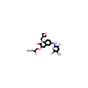 CNC(=O)COc1cc2cc(Nc3nc(Cl)c(C#N)cc3Cl)ccc2n(CC2COC2)c1=O